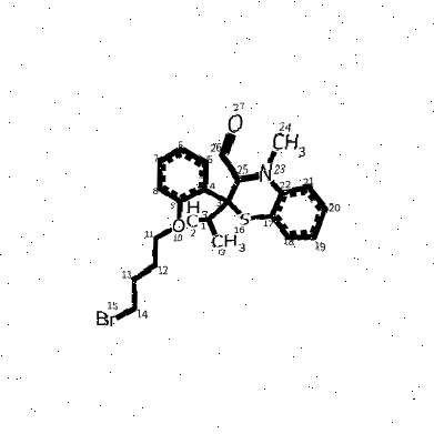 CC(C)C1(c2ccccc2OCCCCBr)Sc2ccccc2N(C)C1C=O